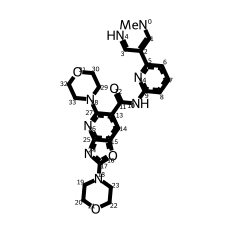 CN/C=C(\C=N)c1cccc(NC(=O)c2cc3oc(N4CCOCC4)nc3nc2N2CCOCC2)n1